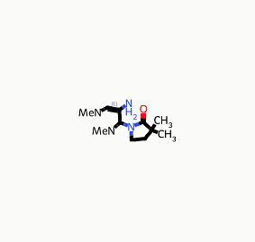 CN/C=C(/N)C(NC)N1CCC(C)(C)C1=O